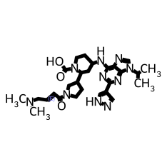 CC(C)n1cnc2c(NC3CCN(C(=O)O)C(C4CCN(C(=O)/C=C/CN(C)C)C4)C3)nc(-c3cn[nH]c3)nc21